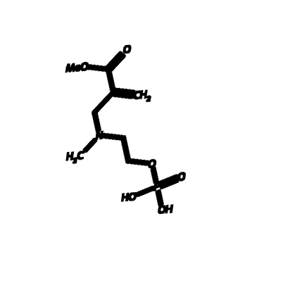 C=C(CN(C)CCOP(=O)(O)O)C(=O)OC